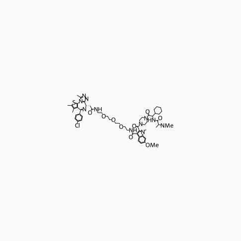 CN[C@@H](C)C(=O)NC(C(=O)N1CCN(C(=O)c2c(C(=O)NCCOCCOCCOCCNC(=O)C[C@@H]3N=C(c4ccc(Cl)cc4)c4c(sc(C)c4C)-n4c(C)nnc43)c3ccc(OC)cc3n2C)CC1)C1CCCCC1